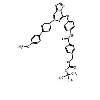 COc1ccc(-c2ccc(-c3cc4ccnn4c(Nc4ccc(NC(=O)c5ccc(CNC(=O)OC(C)(C)C)cc5)cc4)n3)cc2)cc1